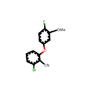 COc1cc(Oc2cccc(Br)c2C#N)ccc1F